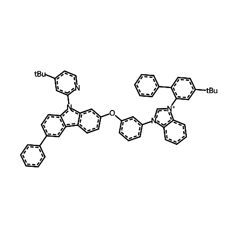 CC(C)(C)c1ccnc(-n2c3ccc(-c4ccccc4)cc3c3ccc(Oc4cccc(-n5c[n+](-c6cc(C(C)(C)C)ccc6-c6ccccc6)c6ccccc65)c4)cc32)c1